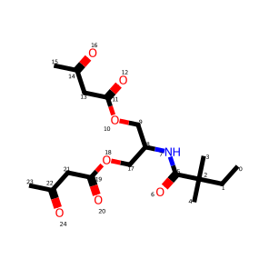 CCC(C)(C)C(=O)NC(COC(=O)CC(C)=O)COC(=O)CC(C)=O